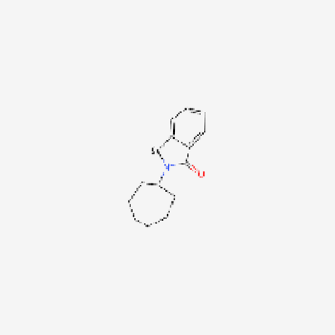 O=c1c2ccccc2[se]n1C1CCCCCC1